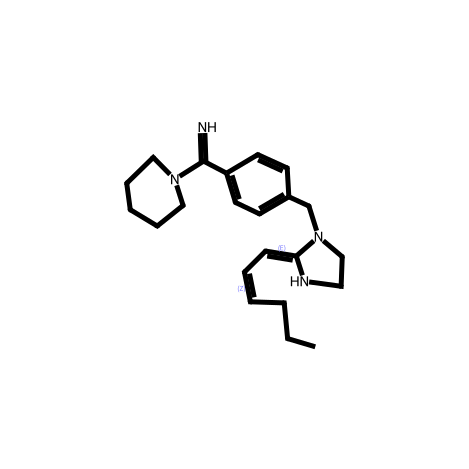 CCC/C=C\C=C1/NCCN1Cc1ccc(C(=N)N2CCCCC2)cc1